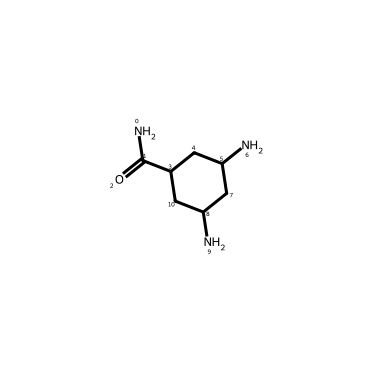 NC(=O)C1CC(N)CC(N)C1